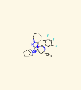 Cc1cc(N2CC3CCC(C2)C3Nc2nc3n(n2)CCCC[C@H]3c2ccc(F)c(F)c2F)ncn1